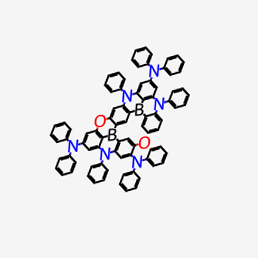 c1ccc(N(c2ccccc2)c2cc3c4c(c2)N(c2ccccc2)c2cc5c(cc2B4c2cc4c(cc2O3)N(c2ccccc2)c2cc(N(c3ccccc3)c3ccccc3)cc3c2B4c2ccccc2N3c2ccccc2)Oc2ccccc2N5c2ccccc2)cc1